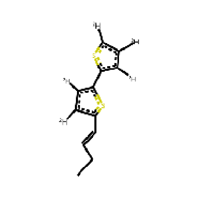 [2H]c1sc(-c2sc(C=CCC)c([2H])c2[2H])c([2H])c1[2H]